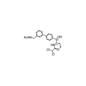 CC(=O)NCc1cccc(-c2ccc([C@@H](O)[C@@H](CF)NC(=O)C(Cl)Cl)cc2)c1